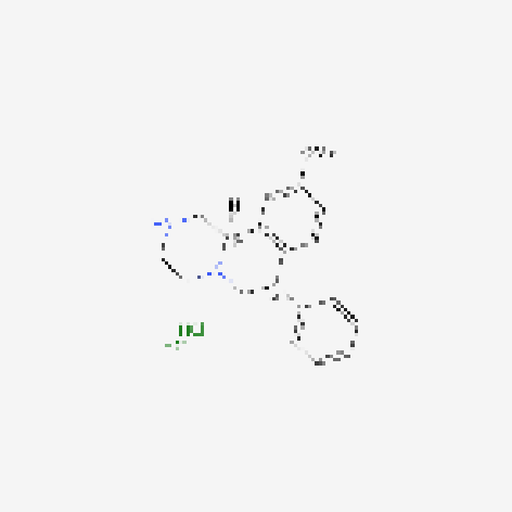 COc1ccc2c(c1)[C@@H]1CNCCN1C[C@H]2c1ccccc1.Cl.Cl